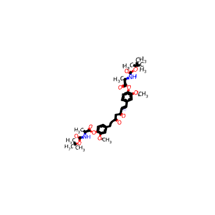 COc1cc(/C=C/C(=O)CC(=O)CCc2ccc(OC(=O)C(C)NC(=O)OC(C)(C)C)c(OC)c2)ccc1OC(=O)C(C)NC(=O)OC(C)(C)C